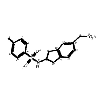 Cc1ccc(S(=O)(=O)NC2Cc3ccc(CC(=O)O)cc3C2)cc1